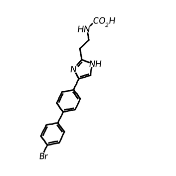 O=C(O)NCCc1nc(-c2ccc(-c3ccc(Br)cc3)cc2)c[nH]1